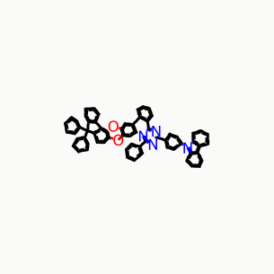 c1ccc(-c2nc(-c3ccc(-n4c5ccccc5c5ccccc54)cc3)nc(-c3ccccc3-c3ccc4c(c3)Oc3c(ccc5c3-c3ccccc3C5(c3ccccc3)c3ccccc3)O4)n2)cc1